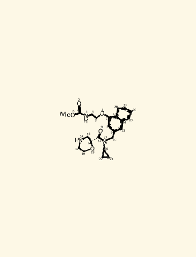 COC(=O)NCCOc1cc(CN(C(=O)[C@H]2CNCCO2)C2CC2)cc2ccccc12